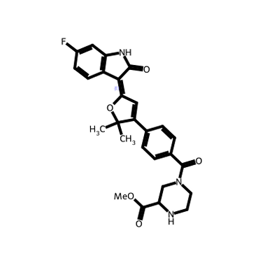 COC(=O)C1CN(C(=O)c2ccc(C3=C/C(=C4\C(=O)Nc5cc(F)ccc54)OC3(C)C)cc2)CCN1